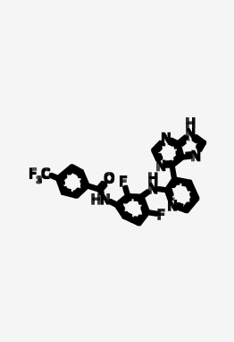 O=C(Nc1ccc(F)c(Nc2ncccc2-c2ncnc3[nH]cnc23)c1F)c1ccc(C(F)(F)F)cc1